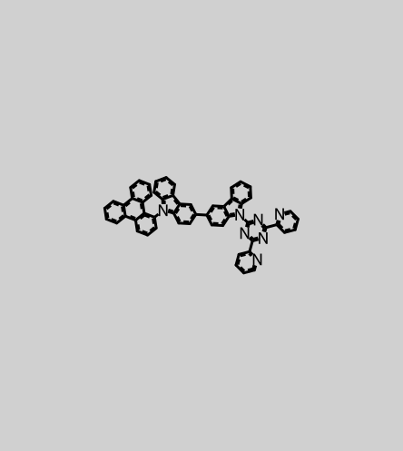 c1ccc(-c2nc(-c3ccccn3)nc(-n3c4ccccc4c4cc(-c5ccc6c(c5)c5ccccc5n6-c5cccc6c7ccccc7c7ccccc7c56)ccc43)n2)nc1